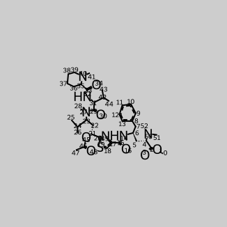 COC(=O)[C@H](C[C@H](Cc1ccccc1)NC(=O)c1csc([C@@H](CC(C(C)C)N(C)C(=O)[C@@H](NC(=O)[C@H]2CCCCN2C)C(C)C)OC(C)=O)n1)N(C)C